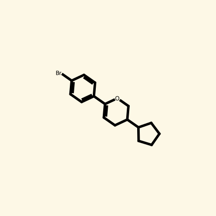 Brc1ccc(C2=CCC(C3CCCC3)CO2)cc1